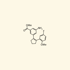 COC(=O)c1cc(N)cc(C2=C(c3cc(F)ccc3OC)CCC2)c1